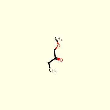 C[CH]C(=O)COC